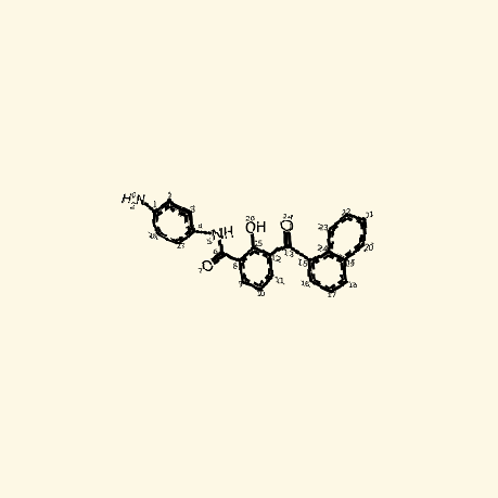 Nc1ccc(NC(=O)c2cccc(C(=O)c3cccc4ccccc34)c2O)cc1